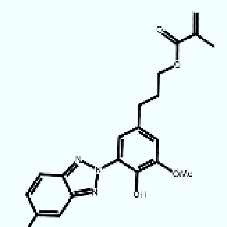 C=C(C)C(=O)OCCCc1cc(OC)c(O)c(-n2nc3ccc(Cl)cc3n2)c1